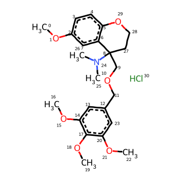 COc1ccc2c(c1)C(COCc1cc(OC)c(OC)c(OC)c1)(N(C)C)CCO2.Cl